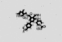 Cc1cc(C)c(CNC(=O)c2cc(-c3ccc(CN(C)C)cc3)cc(NC3CCN(C(=O)C(C)(C)C)CC3)c2C=N)c(=O)[nH]1